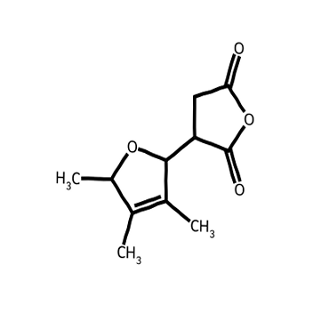 CC1=C(C)C(C2CC(=O)OC2=O)OC1C